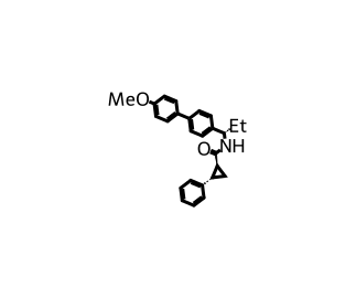 CC[C@H](NC(=O)[C@H]1C[C@@H]1c1ccccc1)c1ccc(-c2ccc(OC)cc2)cc1